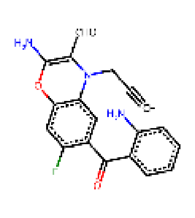 C#CCN1C(C=O)=C(N)Oc2cc(F)c(C(=O)c3ccccc3N)cc21